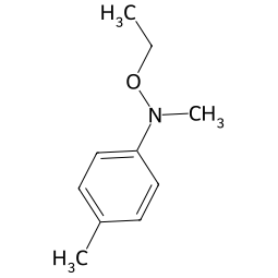 CCON(C)c1ccc(C)cc1